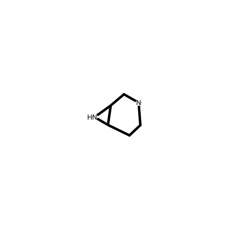 C1CC2NC2C[N]1